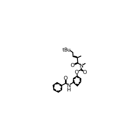 C/C(=C\CC(C)(C)C)C(=O)N(C)C(=O)Oc1cccc(NC(=O)c2ccccc2)c1